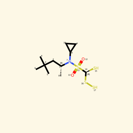 C[C@H](CC(C)(C)C)N(C1CC1)S(=O)(=O)[C@@H](S)SS